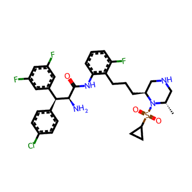 C[C@H]1CNC[C@H](CCCc2c(F)cccc2NC(=O)[C@@H](N)[C@@H](c2ccc(Cl)cc2)c2cc(F)cc(F)c2)N1S(=O)(=O)C1CC1